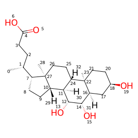 C[C@H](CCC(=O)O)[C@H]1CC[C@H]2[C@@H]3[C@@H](O)[C@@H](O)[C@@H]4C[C@H](O)CC[C@]4(C)[C@H]3CC[C@]12C